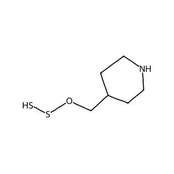 SSOCC1CCNCC1